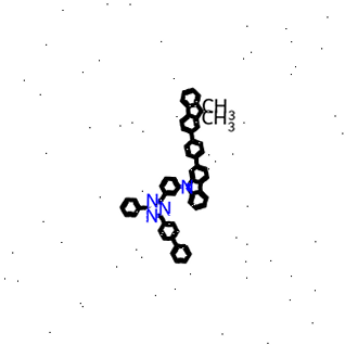 CC1(C)c2ccccc2-c2ccc(-c3ccc(-c4ccc5c6ccccc6n(-c6cccc(-c7nc(-c8ccccc8)nc(-c8ccc(-c9ccccc9)cc8)n7)c6)c5c4)cc3)cc21